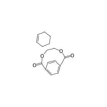 C1=CCCCC1.O=C1OCCOC(=O)c2ccc1cc2